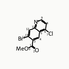 COC(=O)c1cc2c(Cl)ccnc2cc1Br